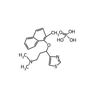 Cc1ccc2ccccc2c1OC(CCN(C)C)c1cscn1.O=P(O)(O)O